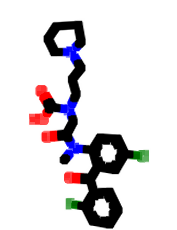 CN(C(=O)CN(CCCN1CCCCC1)C(=O)O)c1ccc(Cl)cc1C(=O)c1ccccc1F